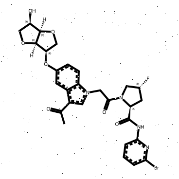 CC(=O)c1cn(CC(=O)N2C[C@H](F)C[C@H]2C(=O)Nc2cccc(Br)n2)c2ccc(O[C@@H]3CO[C@H]4[C@@H]3OC[C@H]4O)cc12